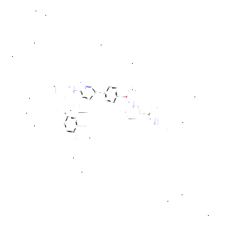 CC(Oc1cc(-c2ccc(C(=O)N3CCCC(C(N)=O)C3)cc2)cnc1N)c1c(Cl)ccc(F)c1Cl